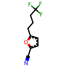 N#Cc1ccc(CCCC(F)(F)F)o1